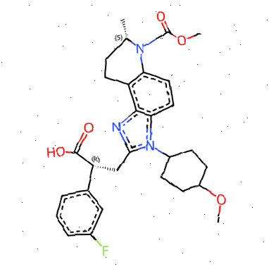 COC(=O)N1c2ccc3c(nc(C[C@@H](C(=O)O)c4cccc(F)c4)n3C3CCC(OC)CC3)c2CC[C@@H]1C